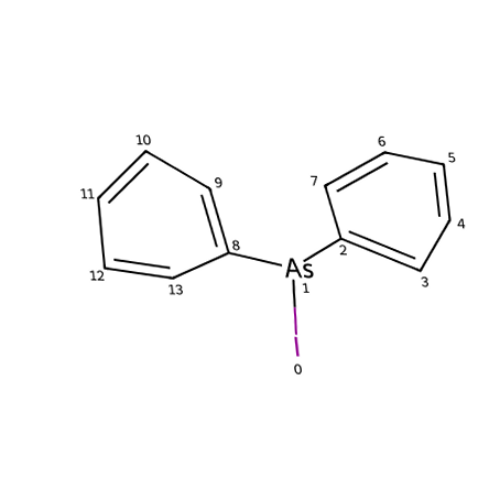 I[As](c1ccccc1)c1ccccc1